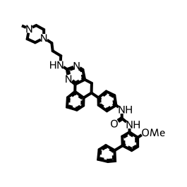 COc1ccc(-c2ccccc2)cc1NC(=O)Nc1ccc(C2Cc3cnc(NCCCN4CCN(C)CC4)nc3-c3ccccc32)cc1